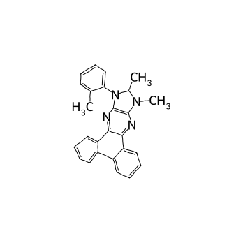 Cc1ccccc1N1c2nc3c4ccccc4c4ccccc4c3nc2N(C)C1C